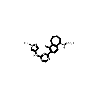 Cn1cc(Nc2ncnc(-c3ccc4c(c3F)CCCC[C@H]4NC(=O)O)n2)cn1